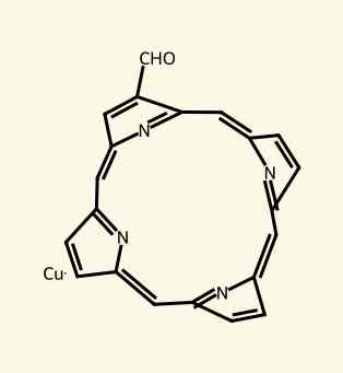 O=CC1=CC2=CC3=NC(=CC4=NC(=CC5=NC(=CC1=N2)C=C5)C=C4)C=C3.[Cu]